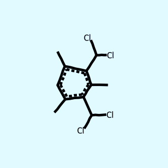 Cc1cc(C)c(C(Cl)Cl)c(C)c1C(Cl)Cl